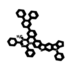 CN1C(C2CCCCC2)=NC(c2ccccc2)NC1C1=C(c2ccc3sc4cc5c(cc4c3c2)c2c(n5C3C=CC=CC3)CCC2)C=CC(C2=CC(C3=CC=CCC3)C(C3C=CCCC3)CC2)C1